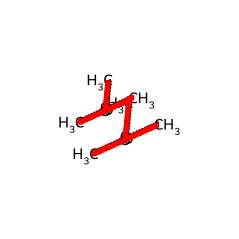 CCCCCCCCCCCCCCCCCCCCCCOP(OCCCCCCCCCCCCCCCCCCCCCC)OCCCCCCCCCCCCCCCCCCCCCC.CCCCCCCCCCCCCCCCCCOP(OCCCCCCCCCCCCCCCCCC)OCCCCCCCCCCCCCCCCCC